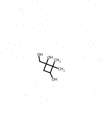 CC1(C)C(O)CC1(O)CO